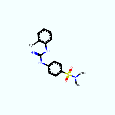 CCCCN(CCCC)S(=O)(=O)c1ccc(NC(=N)Nc2ccccc2C(F)(F)F)cc1